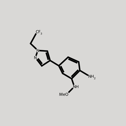 CONc1cc(-c2cnn(CC(F)(F)F)c2)ccc1N